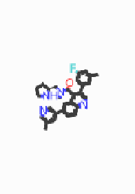 Cc1cncc(-c2ccc3ncc(-c4cc(C)cc(F)c4)c(C(=O)N(C)C[C@@H]4CCCN4)c3c2)c1